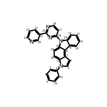 c1ccc(-n2ccc3c4c5ccccc5n(-c5ccnc(-c6cccnc6)n5)c4ccc32)cc1